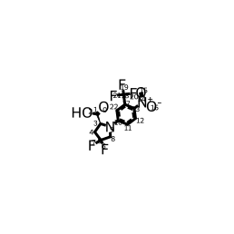 O=C(O)[C@@H]1CC(F)(F)CN1c1ccc([N+](=O)[O-])c(C(F)(F)F)c1